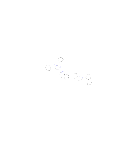 c1ccc(-c2cc(-c3ccc4ccc(-c5ccc6nc(-c7cccc8ccccc78)ccc6c5)cc4n3)nc(-c3ccccc3)n2)cc1